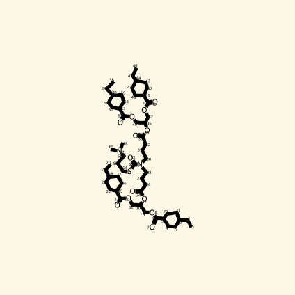 CCC1CCC(C(=O)OCC(COC(=O)C2CCC(CC)CC2)OC(=O)CCCN(CCCC(=O)OC(COC(=O)C2CCC(CC)CC2)COC(=O)C2CCC(CC)CC2)C(=O)SCCCN(C)C)CC1